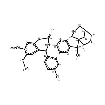 COc1cc2c(cc1OC(C)C)C(c1ccc(Cl)cc1)N(c1ccc([C@](C)(O)C34CNCC(COC3)C4)cc1)C(=O)C2